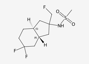 CS(=O)(=O)NC1(CF)C[C@@H]2CCC(F)(F)C[C@H]2C1